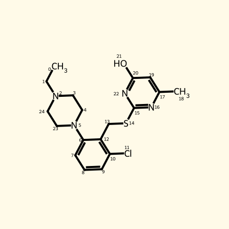 CCN1CCN(c2cccc(Cl)c2CSc2nc(C)cc(O)n2)CC1